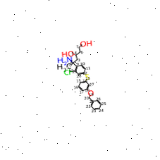 C[C@@](N)(CC(O)CCO)c1ccc(Sc2cccc(OCc3ccccc3)c2)cc1Cl